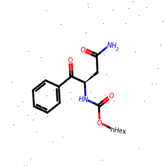 CCCCCCOC(=O)N[C@H](CC(N)=O)C(=O)c1ccccc1